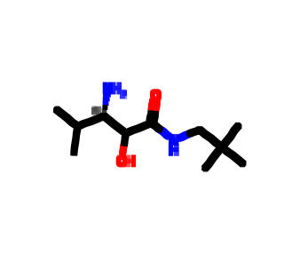 CC(C)[C@H](N)C(O)C(=O)NCC(C)(C)C